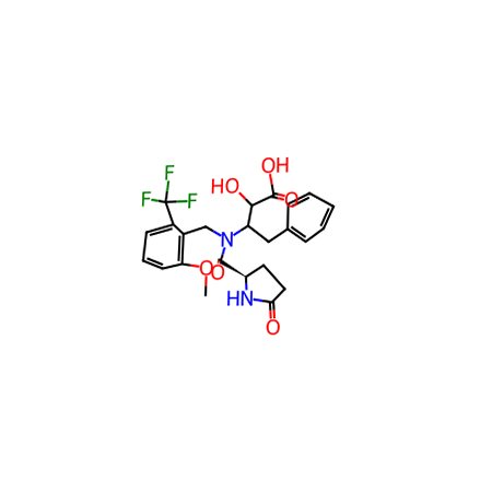 COc1cccc(C(F)(F)F)c1CN(C(=O)[C@H]1CCC(=O)N1)C(Cc1ccccc1)C(O)C(=O)O